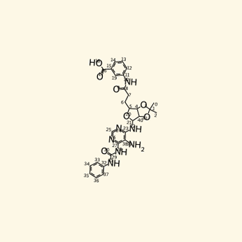 CC1(C)OC2C(CCC(=O)Nc3cccc(C(=O)O)c3)OC(Nc3ncnc(NC(=O)Nc4ccccc4)c3N)C2O1